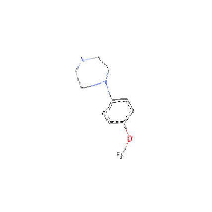 FC(F)(F)Oc1ccc(N2CC[N]CC2)cc1